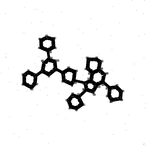 c1ccc(-c2cc(-c3ccc(-c4c(-c5ccccc5)sc5c(-c6ccccc6)nc6ccccc6c45)cc3)nc(-c3ccccc3)n2)cc1